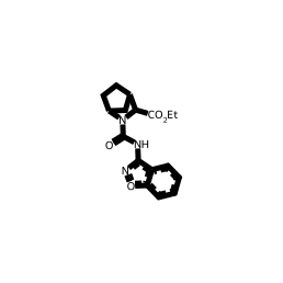 CCOC(=O)C1C2CCC(C2)N1C(=O)Nc1noc2ccccc12